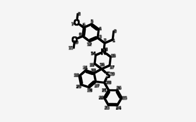 CCC(c1ccc(OC)c(OC)c1)N1CCC2(CC1)SC(c1ccccc1)c1ccccc12